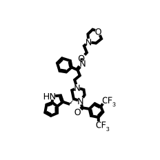 O=C(c1cc(C(F)(F)F)cc(C(F)(F)F)c1)N1CCN(CC/C(=N/OCCN2CCOCC2)c2ccccc2)C[C@H]1Cc1c[nH]c2ccccc12